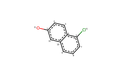 [O]c1ccc2c(Cl)cccc2c1